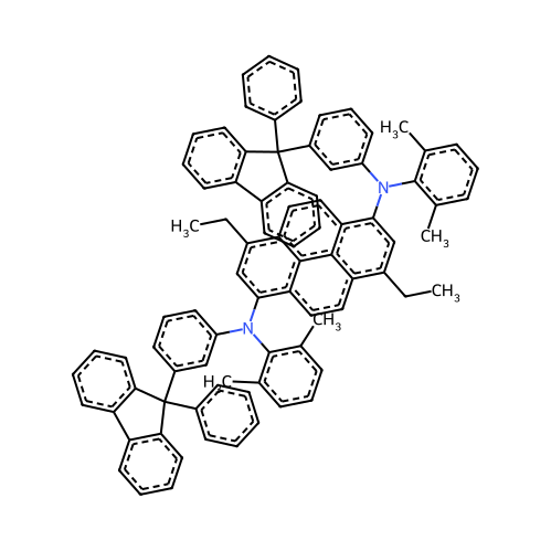 CCc1cc(N(c2cccc(C3(c4ccccc4)c4ccccc4-c4ccccc43)c2)c2c(C)cccc2C)c2ccc3c(CC)cc(N(c4cccc(C5(c6ccccc6)c6ccccc6-c6ccccc65)c4)c4c(C)cccc4C)c4ccc1c2c34